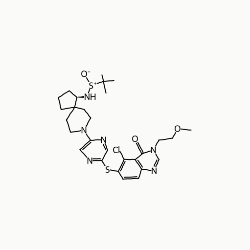 COCCn1cnc2ccc(Sc3cnc(N4CCC5(CCC[C@H]5N[S+]([O-])C(C)(C)C)CC4)cn3)c(Cl)c2c1=O